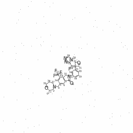 CC1CN(Cc2cc3c(c(C(F)(F)F)c2)CN(c2cccc(C4([C@H](F)c5nncn5C)COC4)c2)C3=O)CCCO1